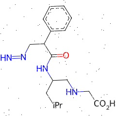 CC(C)CC(CNCC(=O)O)NC(=O)C(CN=N)c1ccccc1